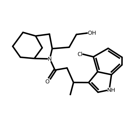 CC(CC(=O)N1C(CCO)CC2CCCC1C2)c1c[nH]c2cccc(Cl)c12